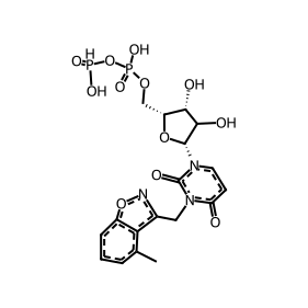 Cc1cccc2onc(Cn3c(=O)ccn([C@@H]4O[C@H](COP(=O)(O)O[PH](=O)O)[C@H](O)C4O)c3=O)c12